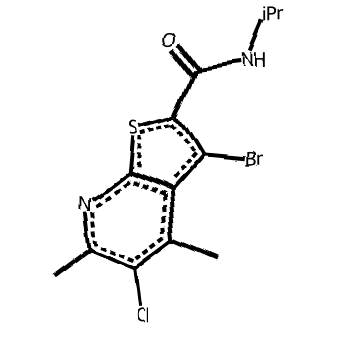 Cc1nc2sc(C(=O)NC(C)C)c(Br)c2c(C)c1Cl